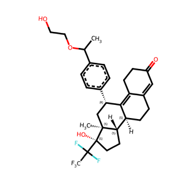 CC(OCCO)c1ccc([C@H]2C[C@@]3(C)[C@@H](CC[C@@]3(O)C(F)(F)C(F)(F)F)[C@@H]3CCC4=CC(=O)CCC4=C32)cc1